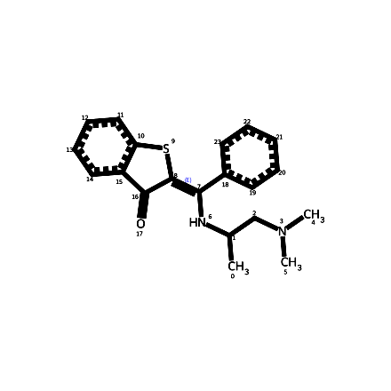 CC(CN(C)C)N/C(=C1/Sc2ccccc2C1=O)c1ccccc1